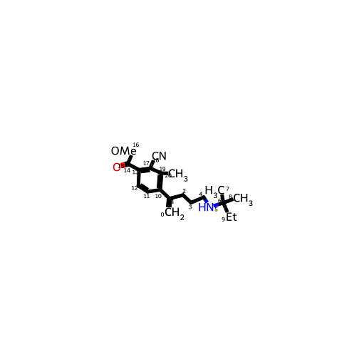 C=C(CCCNC(C)(C)CC)c1ccc(C(=O)OC)c(C#N)c1C